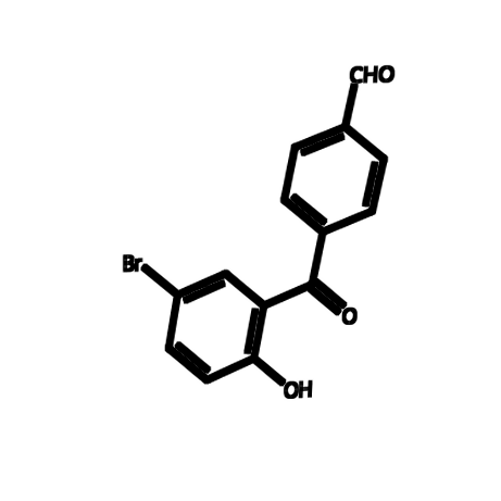 O=Cc1ccc(C(=O)c2cc(Br)ccc2O)cc1